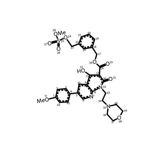 COc1ccc(-c2cnc3c(c2)c(O)c(C(=O)OCc2cccc(COS(=O)(=O)OC)c2)c(=O)n3CCN2CCOCC2)cc1